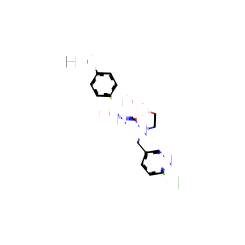 Cc1ccc(S(=O)(=O)N=C2OCCN2Cc2ccc(Cl)nc2)cc1